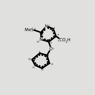 CSc1ncc(C(=O)O)c(Oc2ccccc2)n1